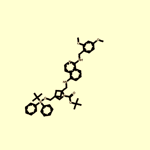 COc1ccc(CNc2nccc3c(NCC45CC(CO[Si](c6ccccc6)(c6ccccc6)C(C)(C)C)(CN4C(=O)OC(C)(C)C)C5)cccc23)c(OC)c1